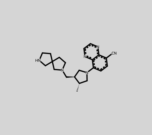 C[C@H]1CN(c2ccc(C#N)c3nccnc23)C[C@@H]1CN1CCC2(CCNC2)C1